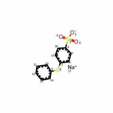 O=S(=O)([O-])c1ccc(Sc2ccccc2)cc1.[Na+]